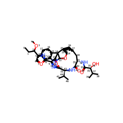 CCC(OC)c1coc(-c2nc3oc2C24c5ccccc5NC2Oc2ccc(cc24)C[C@H](NC(=O)[C@@H](O)C(C)C)C(=O)N[C@H]3C(C)C)n1